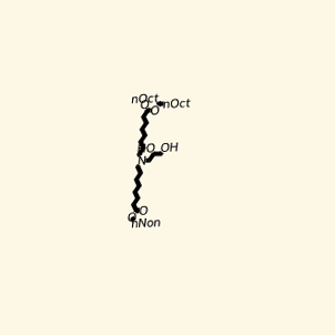 CCCCCCCCCOC(=O)CCCCCCCN(CCCCCCCC(=O)OC(CCCCCCCC)CCCCCCCC)CC(O)CO